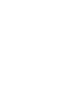 Cn1/c(=N/C(=O)c2cc(Cl)ccc2[N+](=O)[O-])sc2cc(F)cc(F)c21